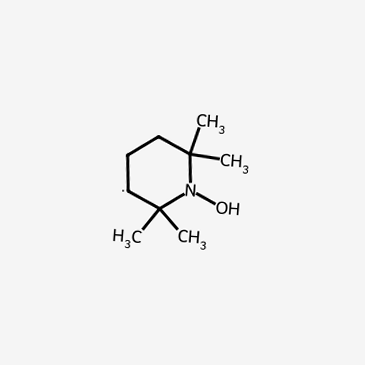 CC1(C)[CH]CCC(C)(C)N1O